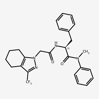 CN(C(=O)[C@H](Cc1ccccc1)NC(=O)Cn1nc(C(F)(F)F)c2c1CCCC2)c1ccccc1